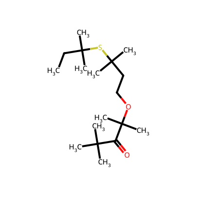 CCC(C)(C)SC(C)(C)CCOC(C)(C)C(=O)C(C)(C)C